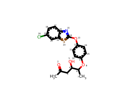 CC(=O)CC(O)C(C)Oc1ccc(Oc2nc3ccc(Cl)cc3s2)cc1